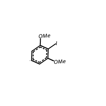 COc1c[c]cc(OC)c1I